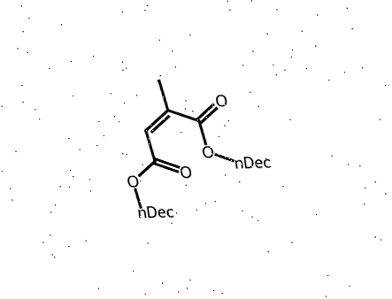 CCCCCCCCCCOC(=O)C=C(C)C(=O)OCCCCCCCCCC